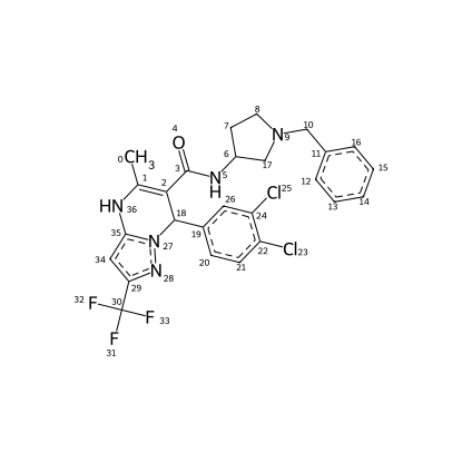 CC1=C(C(=O)NC2CCN(Cc3ccccc3)C2)C(c2ccc(Cl)c(Cl)c2)n2nc(C(F)(F)F)cc2N1